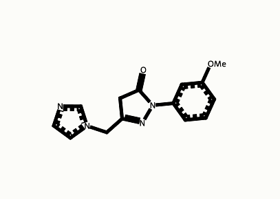 COc1cccc(N2N=C(Cn3ccnc3)CC2=O)c1